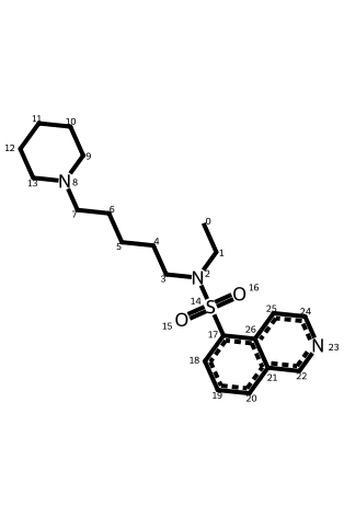 CCN(CCCCCN1CCCCC1)S(=O)(=O)c1cccc2cnccc12